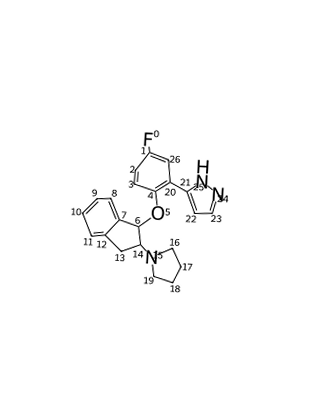 Fc1ccc(OC2c3ccccc3CC2N2CCCC2)c(-c2ccn[nH]2)c1